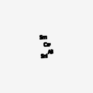 [Al].[Ca].[Sm].[Sn]